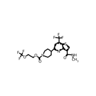 CNC(=O)c1csc2c(C(F)(F)F)cc(C3CCN(C(=O)OCCOC(F)(F)F)CC3)nc12